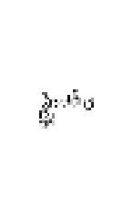 N#Cc1cc(COc2ccn(Cc3ccccn3)c(=O)n2)ccc1Oc1ccc(Cl)c(C(F)(F)F)c1